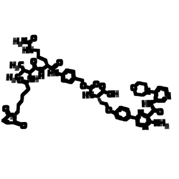 CC(C)C(NC(=O)CCCCCN1C(=O)C=CC1=O)C(=O)N[C@@H](CCCNC(N)=O)C(=O)Nc1ccc(COC(=O)N[C@@H](CCOc2ccc(-c3cnc(N)c(C(=O)Nc4cnccc4N4CCOCC4)n3)cc2)C(=O)O)cc1